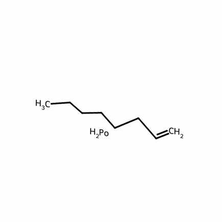 C=CCCCCCC.[PoH2]